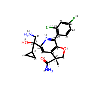 C[C@]1(C(N)=O)COc2c1cc([C@@](O)(CN)C1CC1)nc2-c1ccc(F)cc1Cl